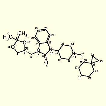 CC1(C)OC[C@@H](Cn2c(=O)n(C3CCN(C[C@H]4CCCCC45CC5)CC3)c3ccccc32)O1